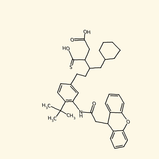 CC(C)(C)c1ccc(CCC(CC2CCCCC2)C(CC(=O)O)C(O)=S)cc1NC(=O)CC1c2ccccc2Oc2ccccc21